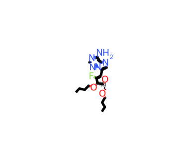 CCCCOC[C@H]1OC(c2cnc3c(N)ncnn23)=C(F)[C@@H]1OCCCC